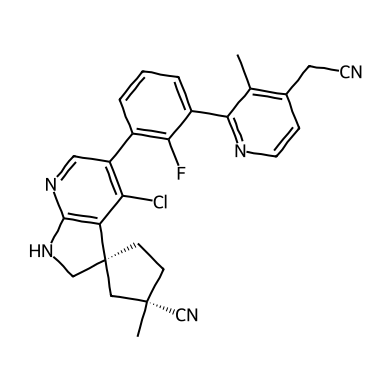 Cc1c(CC#N)ccnc1-c1cccc(-c2cnc3c(c2Cl)[C@]2(CC[C@](C)(C#N)C2)CN3)c1F